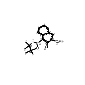 COc1cc2ccccc2c(B2OC(C)(C)C(C)(C)O2)c1Cl